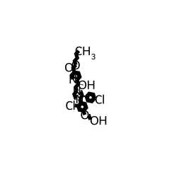 CCCCOC(=O)c1ccc([C@H](O)CN2CCN(c3ccc(OCCO)cc3Cl)[C@H](c3ccc(Cl)cc3)C2)nc1